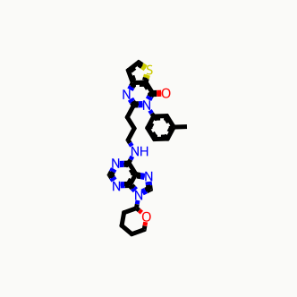 Cc1cccc(-n2c(CCCNc3ncnc4c3ncn4C3CCCCO3)nc3ccsc3c2=O)c1